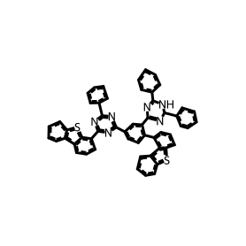 c1ccc(C2=NC(c3cc(-c4nc(-c5ccccc5)nc(-c5cccc6c5sc5ccccc56)n4)ccc3-c3cccc4sc5ccccc5c34)=NC(c3ccccc3)N2)cc1